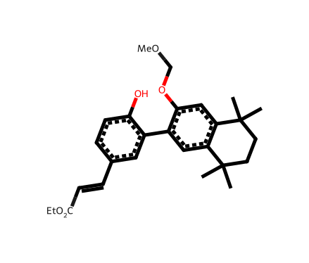 CCOC(=O)C=Cc1ccc(O)c(-c2cc3c(cc2OCOC)C(C)(C)CCC3(C)C)c1